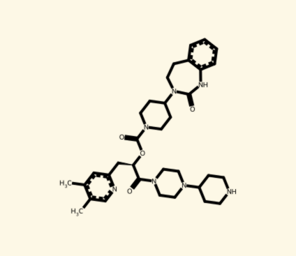 Cc1cnc(C[C@@H](OC(=O)N2CCC(N3CCc4ccccc4NC3=O)CC2)C(=O)N2CCN(C3CCNCC3)CC2)cc1C